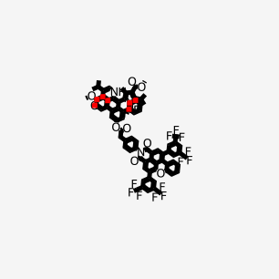 COC(=O)C1=C(C)/C(=C(\c2c(-c3ccccc3)cc(OC(=O)Cc3ccc(-n4c(=O)c5cc(-c6cc(C(F)(F)F)cc(C(F)(F)F)c6)c6oc7ccccc7c7c(-c8cc(C(F)(F)F)cc(C(F)(F)F)c8)cc(c4=O)c5c67)cc3)cc2-c2ccccc2)c2c(C)c(C(=O)OC)c(C(C)C)n2B(F)F)NC=C1C(C)C